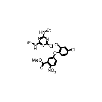 CCNc1nc(Cl)nc(NC(C)C)n1.COC(=O)c1cc(Oc2ccc(Cl)cc2Cl)ccc1[N+](=O)[O-]